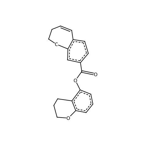 O=C(Oc1cccc2c1CCCO2)c1ccc2c(c1)CCCC=C2